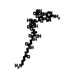 CC(C)(COP(=O)(O)OP(=O)(O)OC[C@H]1O[C@@H](n2cnc3c(N)ncnc32)[C@H](O)[C@@H]1OP(=O)(O)O)[C@@H](O)C(=O)NCCC(=O)NCCSC(=O)CCCCN